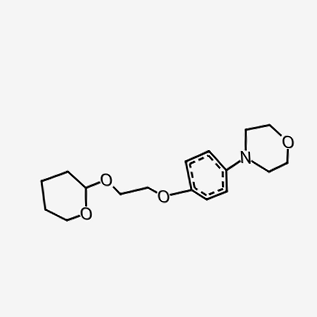 c1cc(N2CCOCC2)ccc1OCCOC1CCCCO1